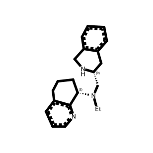 CCN(C[C@H]1Cc2ccccc2CN1)[C@H]1CCCc2cccnc21